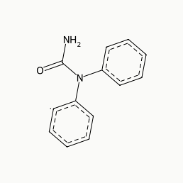 NC(=O)N(c1[c]cccc1)c1ccccc1